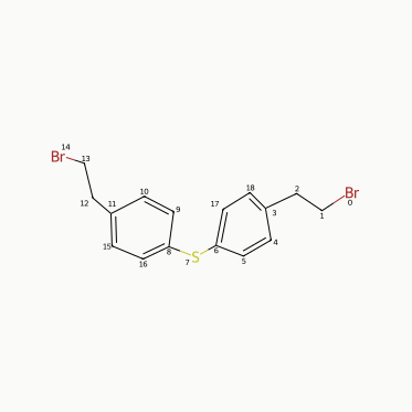 BrCCc1ccc(Sc2ccc(CCBr)cc2)cc1